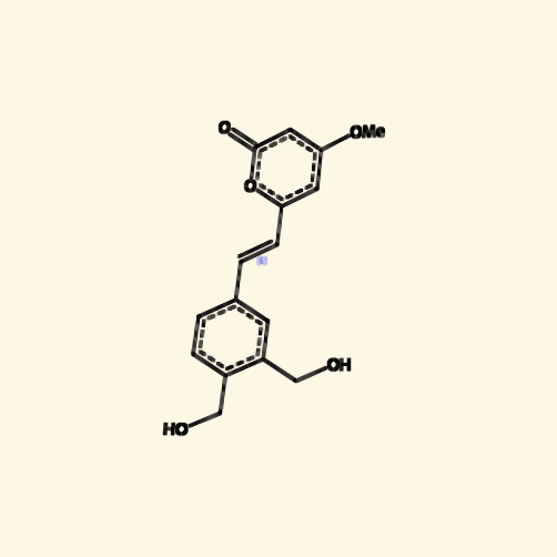 COc1cc(/C=C/c2ccc(CO)c(CO)c2)oc(=O)c1